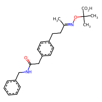 C/C(CCc1ccc(CC(=O)NCc2ccccc2)cc1)=N\OC(C)(C)C(=O)O